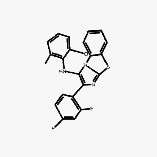 Cc1cccc(Cl)c1Nc1c(-c2ccc(F)cc2F)nc2sc3ccccc3n12